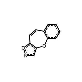 C1=Cc2oncc2Oc2ccccc21